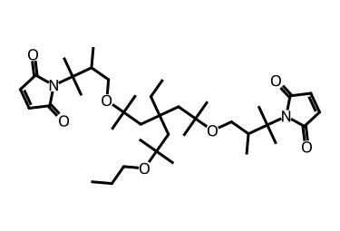 CCCOC(C)(C)CC(CC)(CC(C)(C)OCC(C)C(C)(C)N1C(=O)C=CC1=O)CC(C)(C)OCC(C)C(C)(C)N1C(=O)C=CC1=O